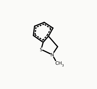 CN1Cc2ccccc2S1